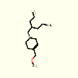 CCCC(CCC)C[C@H]1CC=C(COC)CC1